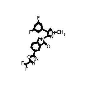 Cn1cc(-c2cc(F)cc(F)c2)c(N2Cc3ccc(-c4nnc(C(F)F)o4)cc3C2=O)n1